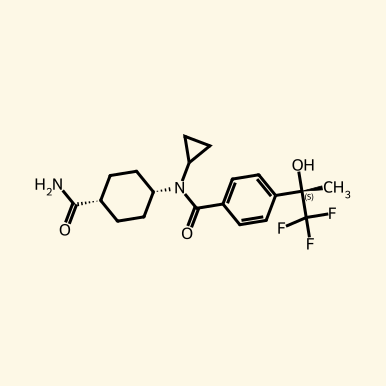 C[C@](O)(c1ccc(C(=O)N(C2CC2)[C@H]2CC[C@@H](C(N)=O)CC2)cc1)C(F)(F)F